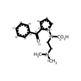 CN(C)CCN(C(=O)O)n1cccc1C(=O)c1ccccc1